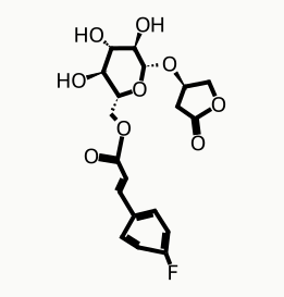 O=C(/C=C/c1ccc(F)cc1)OC[C@H]1O[C@@H](O[C@H]2COC(=O)C2)[C@H](O)[C@@H](O)[C@@H]1O